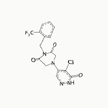 O=C1CN(c2cn[nH]c(=O)c2Cl)CC(=O)N1Cc1ccccc1C(F)(F)F